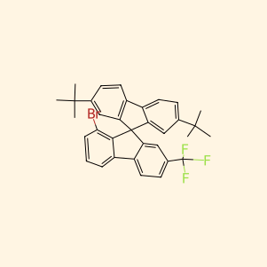 CC(C)(C)c1ccc2c(c1)C1(c3cc(C(C)(C)C)ccc3-2)c2cc(C(F)(F)F)ccc2-c2cccc(Br)c21